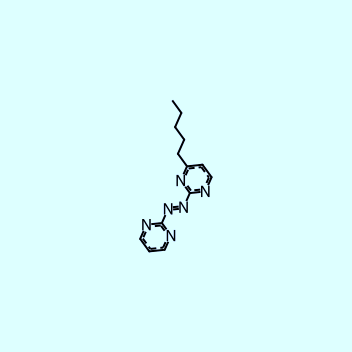 CCCCCc1ccnc(N=Nc2ncccn2)n1